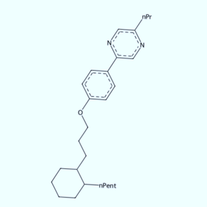 CCCCCC1CCCCC1CCCOc1ccc(-c2cnc(CCC)cn2)cc1